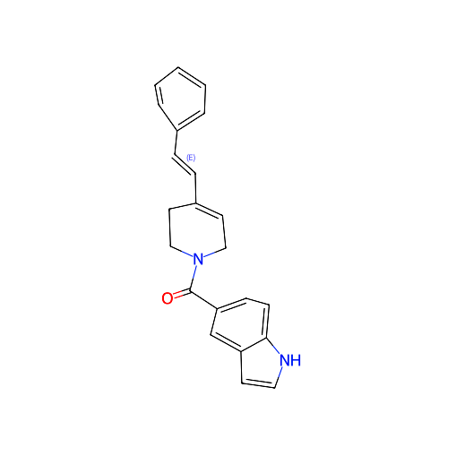 O=C(c1ccc2[nH]ccc2c1)N1CC=C(/C=C/c2ccccc2)CC1